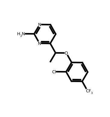 CC(Oc1ccc(C(F)(F)F)cc1Cl)c1ccnc(N)n1